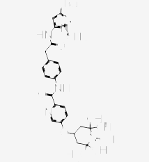 CN1C(C)(C)CC(Oc2ccc(C(=O)Nc3ccc(CC(=O)Nc4cc(C(C)(C)C)nn4C)cc3)nc2)CC1(C)C